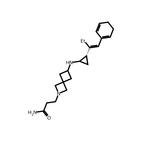 CC/C(=C\C1=CCCC=C1)[C@@H]1CC1NC1CC2(C1)CN(CCC(N)=O)C2